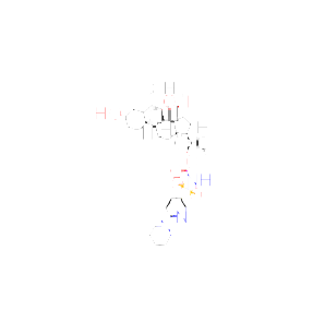 CC[C@@H]1C2C[C@H](O)CCC2(C)[C@H]2CCC3(C)C([C@H](C)COC(=O)NS(=O)(=O)c4ccc(N5CCCCC5)nc4)CC[C@H]3[C@@H]2[C@@H]1O